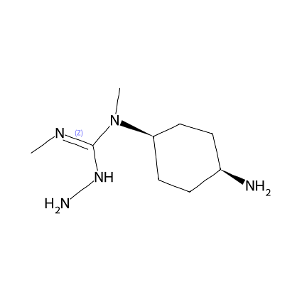 C/N=C(\NN)N(C)[C@H]1CC[C@@H](N)CC1